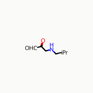 CC(C)CNCC(=O)C=O